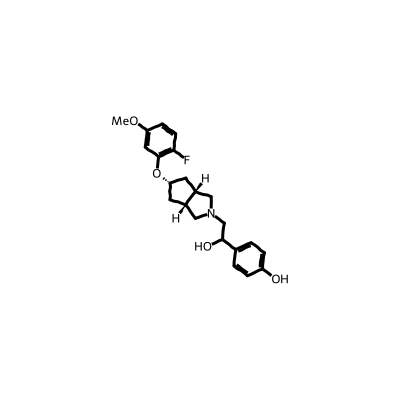 COc1ccc(F)c(O[C@@H]2C[C@@H]3CN(CC(O)c4ccc(O)cc4)C[C@@H]3C2)c1